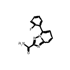 NC(=O)c1nc2cccc(-c3ccccc3F)n2n1